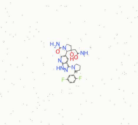 CNC(=O)CC1(O)CCN(C(N)=O)C1c1cnc2[nH]nc(N3CCC[C@@H]3c3cc(F)ccc3F)c2c1